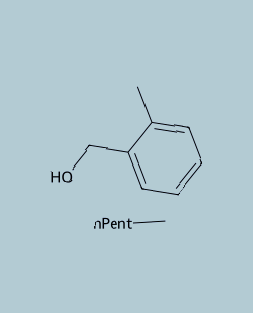 CCCCCC.Cc1ccccc1CO